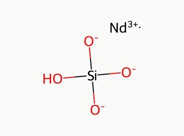 [Nd+3].[O-][Si]([O-])([O-])O